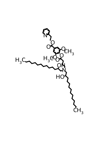 CCCCCCCCCCCCC(O)CN(CCCC(=O)Oc1c(OC)cc(C(=O)OCCc2ccccn2)cc1OC)CC(O)CCCCCCCCCCCC